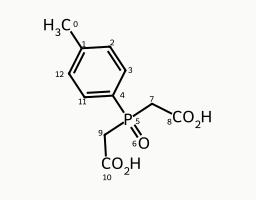 Cc1ccc(P(=O)(CC(=O)O)CC(=O)O)cc1